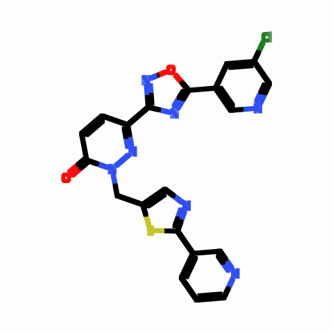 O=c1ccc(-c2noc(-c3cncc(Cl)c3)n2)nn1Cc1cnc(-c2cccnc2)s1